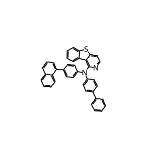 c1ccc(-c2ccc(N(c3ccc(-c4cccc5ccccc45)cc3)c3nccc4sc5ccccc5c34)cc2)cc1